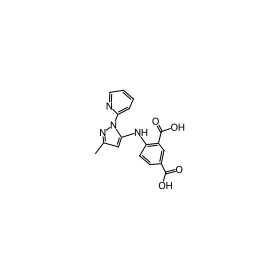 Cc1cc(Nc2ccc(C(=O)O)cc2C(=O)O)n(-c2ccccn2)n1